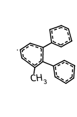 Cc1c[c]cc(-c2ccccc2)c1-c1ccccc1